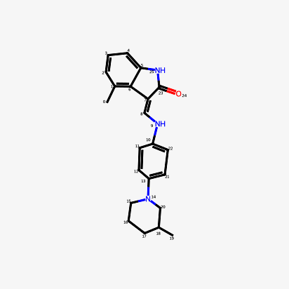 Cc1cccc2c1C(=CNc1ccc(N3CCCC(C)C3)cc1)C(=O)N2